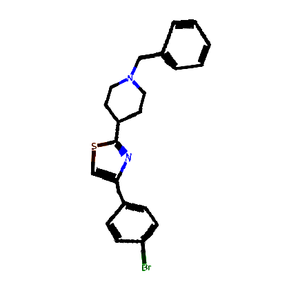 Brc1ccc(-c2csc(C3CCN(Cc4ccccc4)CC3)n2)cc1